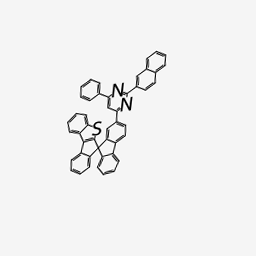 c1ccc(-c2cc(-c3ccc4c(c3)C3(c5ccccc5-4)c4ccccc4-c4c3sc3ccccc43)nc(-c3ccc4ccccc4c3)n2)cc1